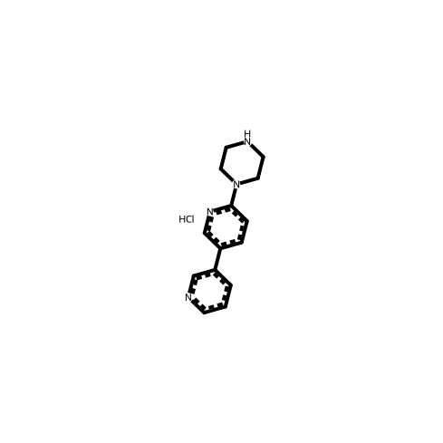 Cl.c1cncc(-c2ccc(N3CCNCC3)nc2)c1